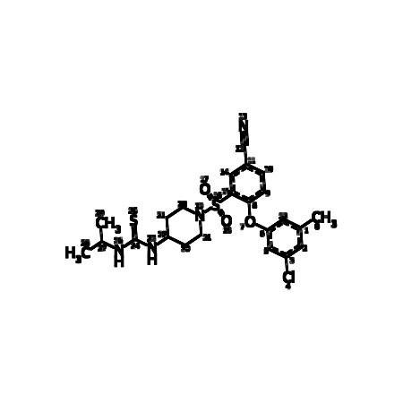 Cc1cc(Cl)cc(Oc2ccc(C#N)cc2S(=O)(=O)N2CCC(NC(=S)NC(C)C)CC2)c1